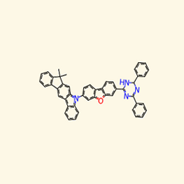 CC1(C)c2ccccc2-c2cc3c4ccccc4n(-c4ccc5c(c4)oc4cc(C6=NC(c7ccccc7)=NC(c7ccccc7)N6)ccc45)c3cc21